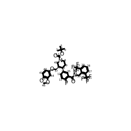 CC(C)(C)OC(=O)N1CC[C@@H](c2ccc(F)c(C(=O)NCc3c(C(F)(F)F)cccc3C(F)(F)F)c2)[C@@H](COc2ccc3c(c2)OCO3)C1